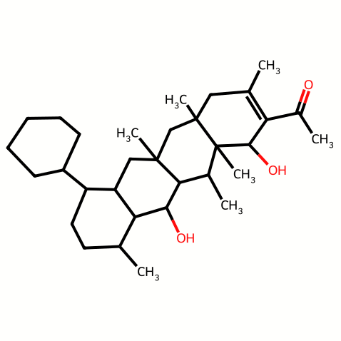 CC(=O)C1=C(C)CC2(C)CC3(C)CC4C(C5CCCCC5)CCC(C)C4C(O)C3C(C)C2(C)C1O